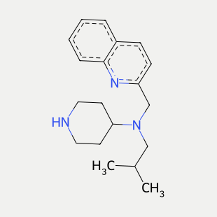 CC(C)CN(Cc1ccc2ccccc2n1)C1CCNCC1